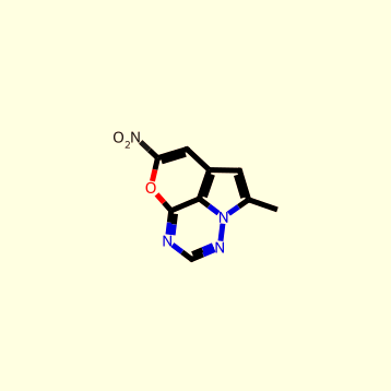 Cc1cc2c3c(ncnn13)OC([N+](=O)[O-])=C2